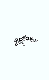 CNC(=O)c1ccc(S(=O)(=O)CC2CCC([C@H](N)C(=O)N(C)C3CCC3)CC2)cc1